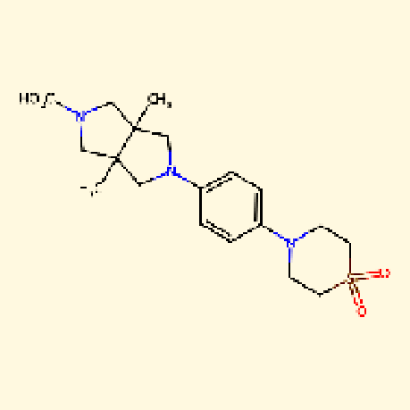 CC12CN(C(=O)O)CC1(C)CN(c1ccc(N3CCS(=O)(=O)CC3)cc1)C2